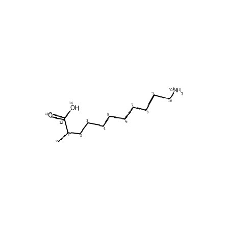 CC(CCCCCCCCCN)C(=O)O